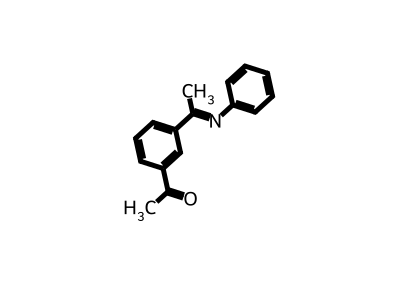 CC(=O)c1cccc(/C(C)=N/c2ccccc2)c1